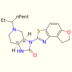 CCCCCC(CC)N1CC[C@@H]2NC(=O)N(c3nc4c5c(ccc4s3)OCC5)[C@@H]2C1